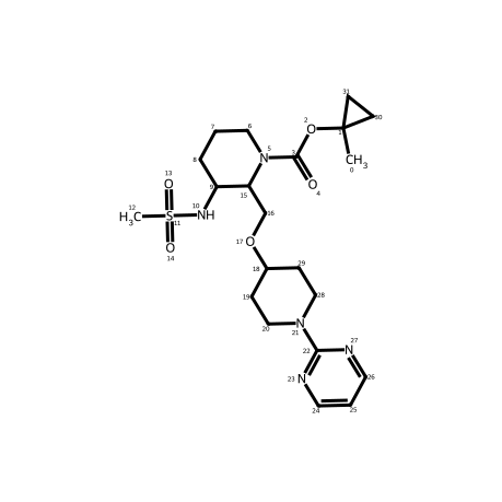 CC1(OC(=O)N2CCCC(NS(C)(=O)=O)C2COC2CCN(c3ncccn3)CC2)CC1